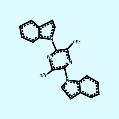 CCCc1nc(-n2ccc3ccccc32)c(CCC)nc1-n1ccc2ccccc21